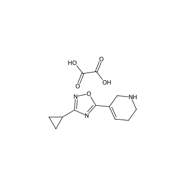 C1=C(c2nc(C3CC3)no2)CNCC1.O=C(O)C(=O)O